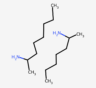 CCCCCC(C)N.CCCCCCC(C)N